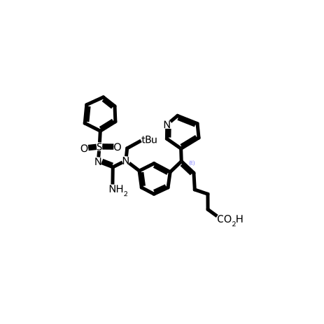 CC(C)(C)CN(C(N)=NS(=O)(=O)c1ccccc1)c1cccc(/C(=C\CCCC(=O)O)c2cccnc2)c1